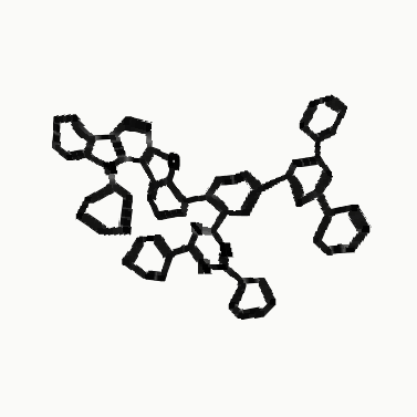 c1ccc(-c2cc(-c3ccccc3)cc(-c3ccc(-c4cccc5c4oc4ccc6c7ccccc7n(-c7ccccc7)c6c45)c(-c4nc(-c5ccccc5)nc(-c5ccccc5)n4)c3)c2)cc1